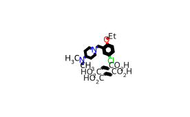 CCOc1ccc(Cl)cc1CN1CCC(N(C)C)CC1.O=C(O)/C=C/C(=O)O.O=C(O)/C=C/C(=O)O